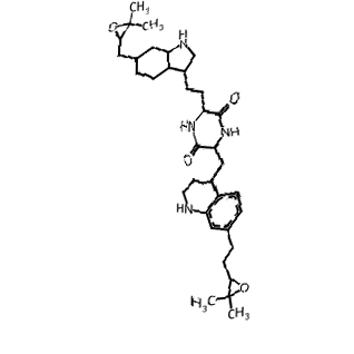 CC1(C)OC1CCc1ccc2c(c1)NCCC2CC1NC(=O)C(CCC2CNC3CC(CC4OC4(C)C)CCC23)NC1=O